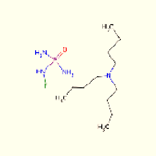 CCCCN(CCCC)CCCC.NP(N)(=O)NF